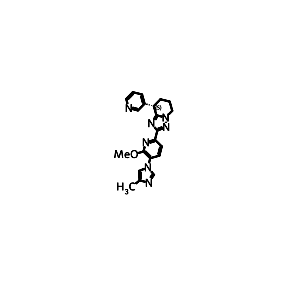 COc1nc(-c2nc3n(n2)CCC[C@H]3c2cccnc2)ccc1-n1cnc(C)c1